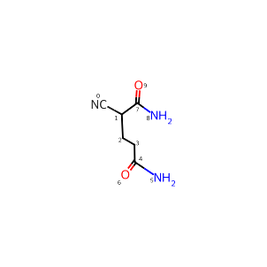 N#CC(CCC(N)=O)C(N)=O